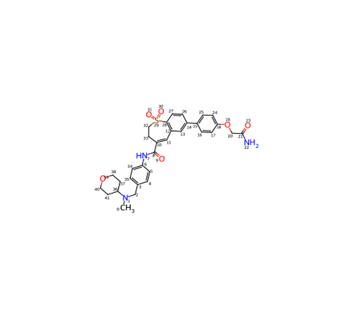 CN(Cc1ccc(NC(=O)C2=Cc3cc(-c4ccc(OCC(N)=O)cc4)ccc3S(=O)(=O)CC2)cc1)C1CCOCC1